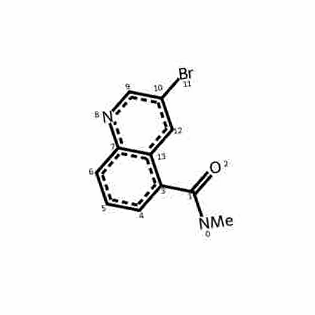 CNC(=O)c1cccc2ncc(Br)cc12